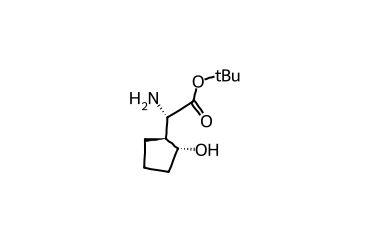 CC(C)(C)OC(=O)[C@@H](N)[C@@H]1CCC[C@H]1O